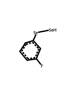 Fc1cccc([Se][SeH])c1